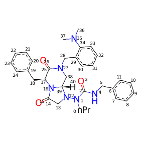 CCCN(C(=O)NCc1ccccc1)N1CC(=O)N2[C@@H](Cc3ccccc3)C(=O)N(Cc3ccccc3N(C)C)C[C@@H]21